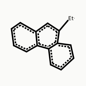 C[CH]c1cc2ccccc2c2ccccc12